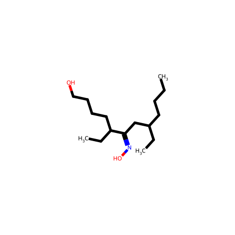 CCCCC(CC)CC(=NO)C(CC)CCCCO